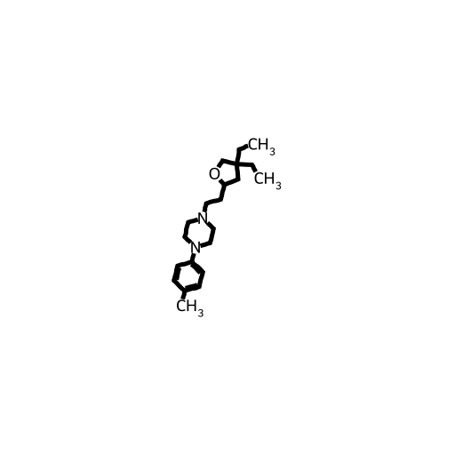 CCC1(CC)COC(CCN2CCN(c3ccc(C)cc3)CC2)C1